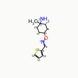 CC1(N)CCC(ON=Cc2cccs2)CC1